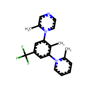 Cc1c(-[n+]2ccccc2C)cc(C(F)(F)F)cc1-[n+]1ccncc1C